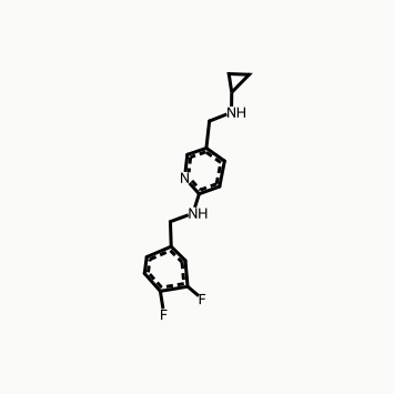 Fc1ccc(CNc2ccc(CNC3CC3)cn2)cc1F